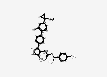 Cc1ccc([C@@H](C)OC(=O)Nc2c(C)noc2-c2ccc(-c3ccc(C4(C(=O)O)CC4)cc3I)cc2)cc1